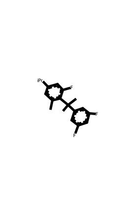 Cc1cc(C(C)C)cc(F)c1C(C)(C)c1cc(F)cc(F)c1